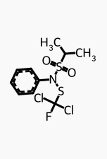 CC(C)S(=O)(=O)N(SC(F)(Cl)Cl)c1ccccc1